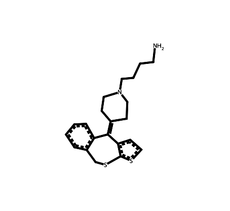 NCCCCN1CCC(=C2c3ccccc3CSc3sccc32)CC1